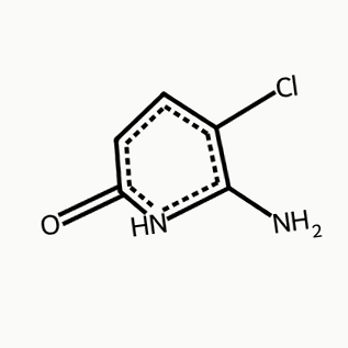 Nc1[nH]c(=O)ccc1Cl